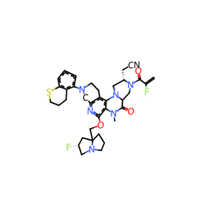 C=C(F)C(=O)N1CC2C(=O)N(C)c3c(OCC45CCCN4C[C@H](F)C5)nc4c(c3N2C[C@@H]1CC#N)CCN(c1cccc2c1CCCS2)C4